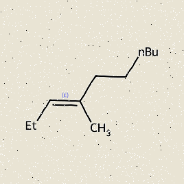 CC/C=C(\C)CCCCCC